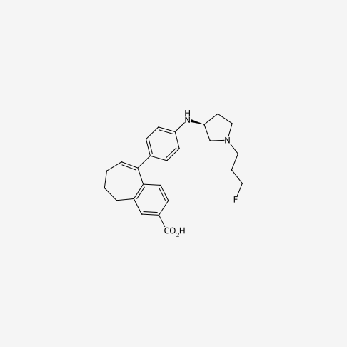 O=C(O)c1ccc2c(c1)CCCC=C2c1ccc(N[C@H]2CCN(CCCF)C2)cc1